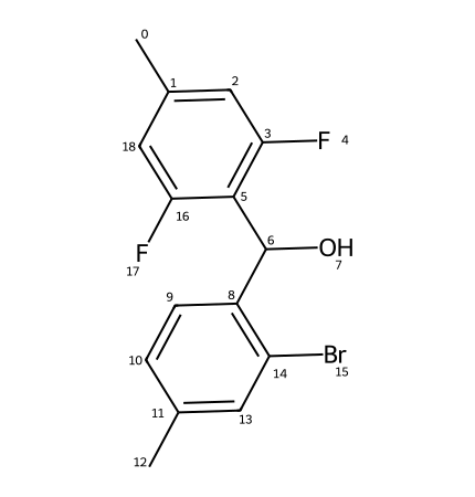 Cc1cc(F)c(C(O)c2ccc(C)cc2Br)c(F)c1